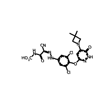 CC1(C)CN(c2cc(Oc3c(Cl)cc(NN=C(C#N)C(=O)NC(=O)O)cc3Cl)n[nH]c2=O)C1